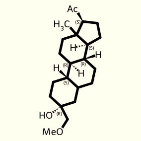 COC[C@@]1(O)CC[C@H]2C(CC[C@@H]3[C@@H]2CCC2(C)[C@@H](C(C)=O)CC[C@@H]32)C1